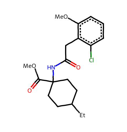 CCC1CCC(NC(=O)Cc2c(Cl)cccc2OC)(C(=O)OC)CC1